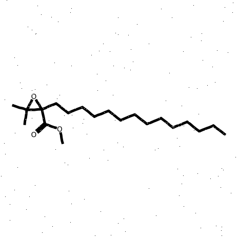 CCCCCCCCCCCCCCC1(C(=O)OC)OC1(C)C